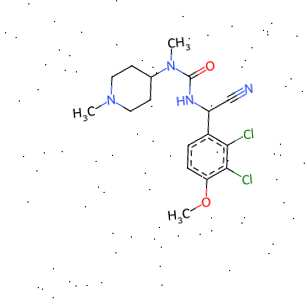 COc1ccc(C(C#N)NC(=O)N(C)C2CCN(C)CC2)c(Cl)c1Cl